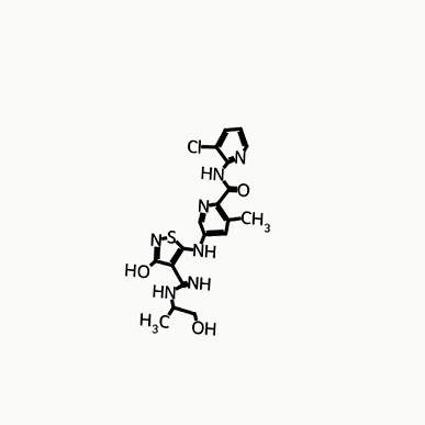 Cc1cc(Nc2snc(O)c2C(=N)NC(C)CO)cnc1C(=O)Nc1ncccc1Cl